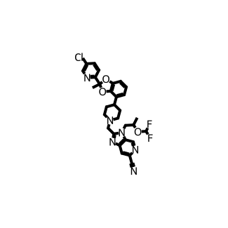 CC(Cn1c(CN2CCC(c3cccc4c3OC(C)(c3ccc(Cl)cn3)O4)CC2)nc2cc(C#N)ncc21)OC(F)F